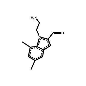 Cc1cc(C)c2c(c1)cc(C=O)n2CCN